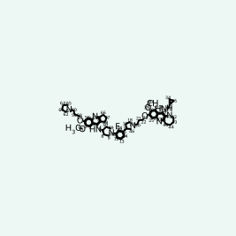 COc1cc2c(NC3CCN(c4cccc(C5CCN(CCCOc6cc7nc8c(c(NCC9CC9)c7cc6OC)NCCCC8)C5)c4F)CC3)c3c(nc2cc1OCCCN1CCCC1)CCC3